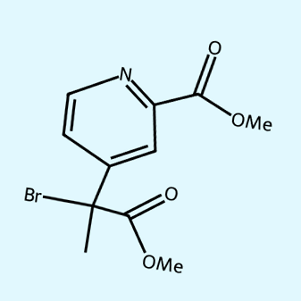 COC(=O)c1cc(C(C)(Br)C(=O)OC)ccn1